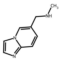 CNCc1ccc2nccn2c1